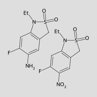 CCN1c2cc(F)c(N)cc2CS1(=O)=O.CCN1c2cc(F)c([N+](=O)[O-])cc2CS1(=O)=O